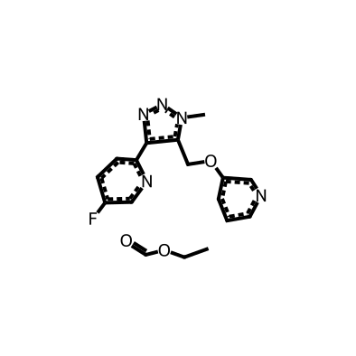 CCOC=O.Cn1nnc(-c2ccc(F)cn2)c1COc1cccnc1